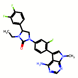 CCN1C(=O)N(c2ccc(-c3cn(C)c4ncnc(N)c34)c(F)c2)CC1c1ccc(F)c(F)c1